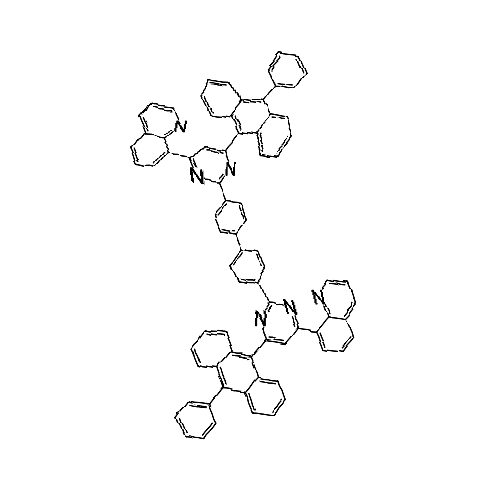 c1ccc(-c2c3ccccc3c(-c3cc(-c4cccc5cccnc45)nc(-c4ccc(-c5ccc(-c6nc(-c7c8ccccc8c(-c8ccccc8)c8ccccc78)cc(-c7cccc8cccnc78)n6)cc5)cc4)n3)c3ccccc23)cc1